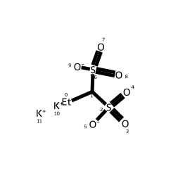 CCC(S(=O)(=O)[O-])S(=O)(=O)[O-].[K+].[K+]